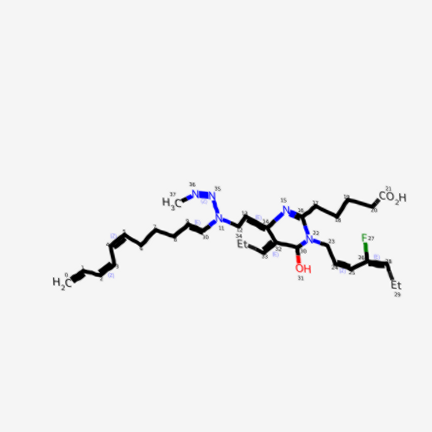 C=C/C=C\C=C/CCC/C=C/N(C/C=C1/N=C(CCCCC(=O)O)N(C/C=C\C(F)=C/CC)C(O)/C1=C/CC)/N=N\C